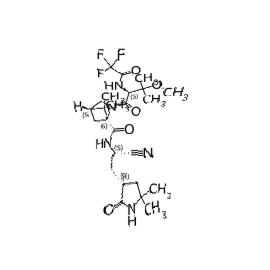 COC(C)(C)[C@H](NC(=O)C(F)(F)F)C(=O)N1C[C@H]2C[C@@]1(C(=O)N[C@H](C#N)C[C@@H]1CC(C)(C)NC1=O)C2(C)C